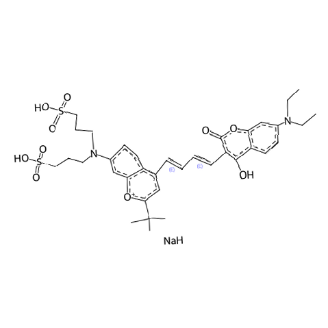 CCN(CC)c1ccc2c(O)c(/C=C/C=C/c3cc(C(C)(C)C)[o+]c4cc(N(CCCS(=O)(=O)O)CCCS(=O)(=O)O)ccc34)c(=O)oc2c1.[NaH]